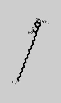 CCCCCCCCCCCCCCCCCCCCCCC(=Cc1ccc(O)c(OC)c1)C(=O)O